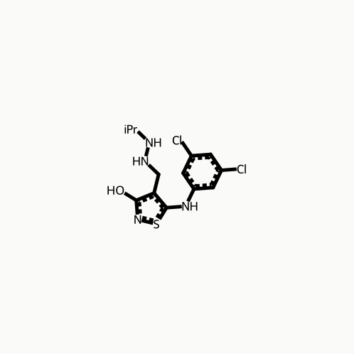 CC(C)NNCc1c(O)nsc1Nc1cc(Cl)cc(Cl)c1